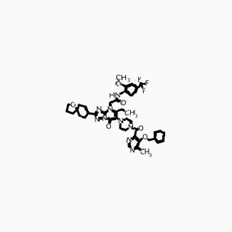 CCc1c(N2CCN(C(=O)c3ncnc(C)c3OCc3ccccc3)CC2)c(=O)n2nc(C3=CCC4(CCCO4)CC3)nc2n1CC(=O)Nc1ccc(C(F)(F)F)cc1OC